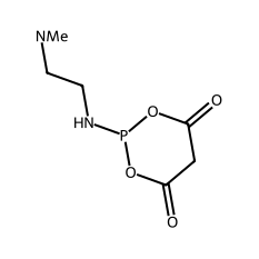 CNCCNP1OC(=O)CC(=O)O1